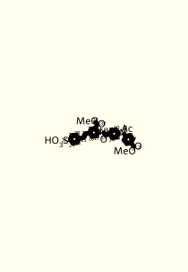 COC(=O)c1ccc(N(C(C)=O)c2ccc(C(=O)Nc3ccc(C=Cc4ccc(S(=O)(=O)O)cc4)cc3C(=O)OC)cc2)cc1